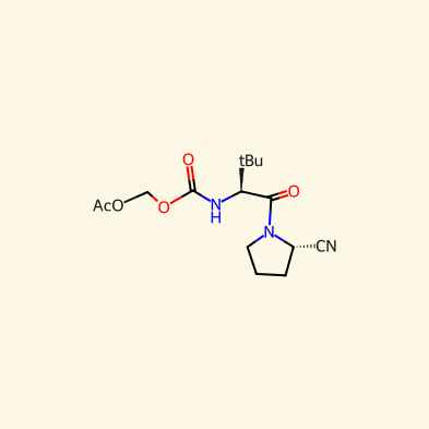 CC(=O)OCOC(=O)N[C@H](C(=O)N1CCC[C@H]1C#N)C(C)(C)C